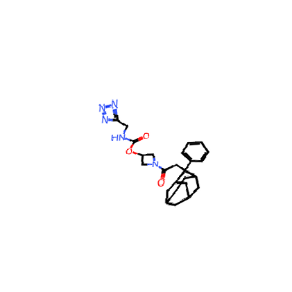 O=C(NCC1=NN=N1)OC1CN(C(=O)CC2(c3ccccc3)C3CC4CC(C3)CC2C4)C1